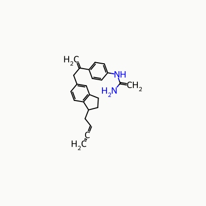 C=C=CCC1CCc2cc(CC(=C)c3ccc(NC(=C)N)cc3)ccc21